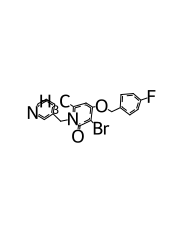 Cc1cc(OCc2ccc(F)cc2)c(Br)c(=O)n1Cc1cccnc1